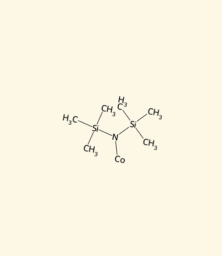 C[Si](C)(C)[N]([Co])[Si](C)(C)C